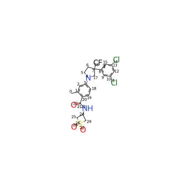 Cc1cc(N2CCC(c3cc(Cl)cc(Cl)c3)(C(F)(F)F)C2)ccc1C(=O)NC1CS(=O)(=O)C1